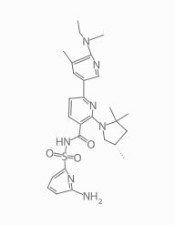 CCN(C)c1ncc(-c2ccc(C(=O)NS(=O)(=O)c3cccc(N)n3)c(N3C[C@@H](C)CC3(C)C)n2)cc1C